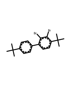 CC(C)(C)c1ccc(-c2ccc(C(C)(C)C)c(Br)c2Br)cc1